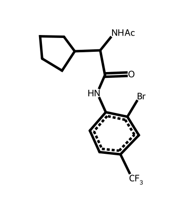 CC(=O)NC(C(=O)Nc1ccc(C(F)(F)F)cc1Br)C1CCCC1